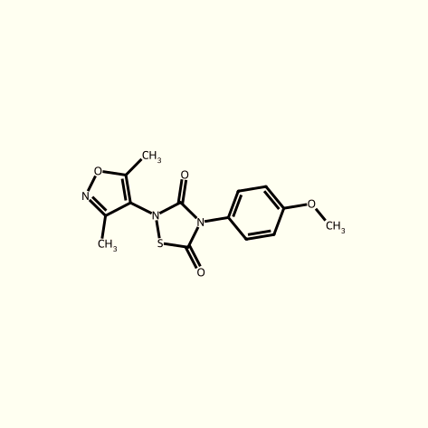 COc1ccc(-n2c(=O)sn(-c3c(C)noc3C)c2=O)cc1